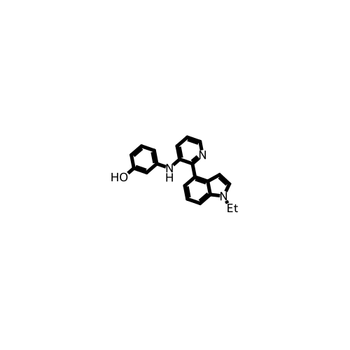 CCn1ccc2c(-c3ncccc3Nc3cccc(O)c3)cccc21